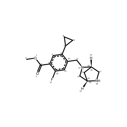 COC(=O)c1cc(C2CC2)c(CN2C[C@@H]3C[C@H]2CN3)cc1F